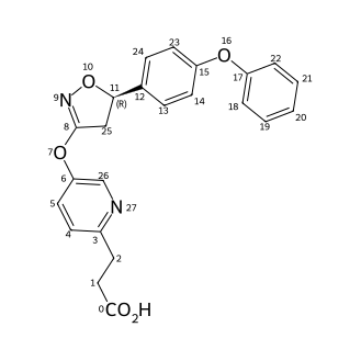 O=C(O)CCc1ccc(OC2=NO[C@@H](c3ccc(Oc4ccccc4)cc3)C2)cn1